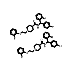 O=C(NC(c1ccc(Cl)cc1)c1ccccc1F)C1CCN(CCOc2ccccc2F)CC1.O=C(NC(c1ccc(Cl)cc1)c1ccccc1F)C1CCN(CCOc2ccccc2F)CC1